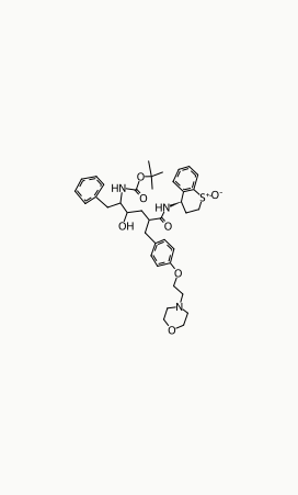 CC(C)(C)OC(=O)NC(Cc1ccccc1)C(O)CC(Cc1ccc(OCCN2CCOCC2)cc1)C(=O)N[C@@H]1CC[S+]([O-])c2ccccc21